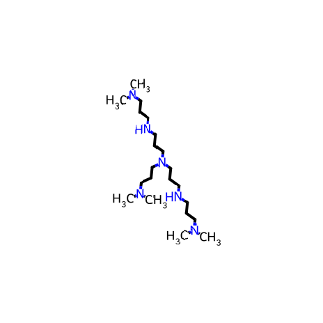 CN(C)CCCNCCCN(CCCNCCCN(C)C)CCCN(C)C